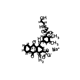 Cc1cc(Nc2cc(S(=O)(=O)[O-])c(N)c3c2C(=O)c2ccccc2C3=O)cc(S(=O)(=O)ONCCO)c1C.[Na+]